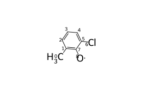 Cc1cccc(Cl)c1[O]